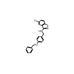 Fc1ccc2snc(NCc3ccc(OCc4ccccc4)cc3)c2c1